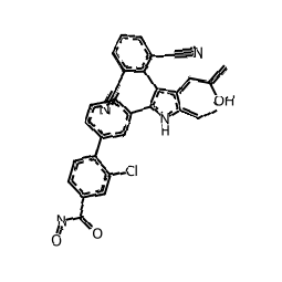 C=C(O)/C=c1/c(-c2c(C#N)cccc2C#N)c(-c2cccc(-c3ccc(C(=O)N=O)cc3Cl)c2)[nH]/c1=C/C